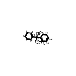 [CH2]CCC(C)(c1ccccc1)c1ccccc1